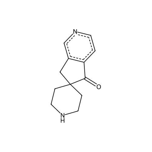 O=C1c2ccncc2CC12CCNCC2